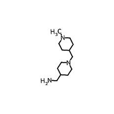 CN1CCC(CN2CCC(CN)CC2)CC1